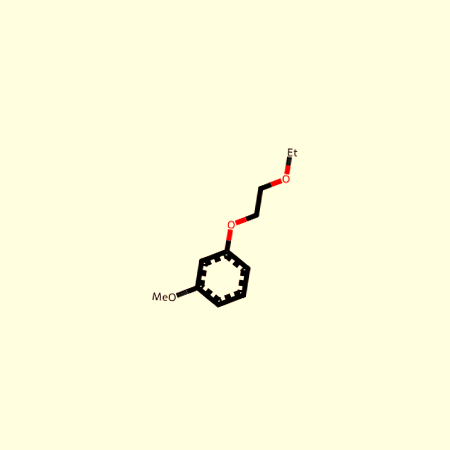 CCOCCOc1cccc(OC)c1